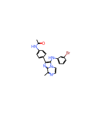 CC(=O)Nc1ccc(-c2nc3c(C)nccn3c2Nc2cccc(Br)c2)cc1